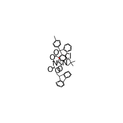 Cc1ccc(C(OC(=O)C[C@@H](C(=O)N2CCC(C)(C)C2)N(C)C(=O)OCC2c3ccccc3-c3ccccc32)(c2ccccc2)c2ccccc2Cl)cc1